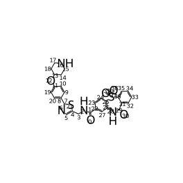 O=C(NCc1cnc(-c2ccc(OC3CCNCC3)cc2)s1)c1ccc2c(c1)NC(=O)c1ccccc1S2(=O)=O